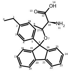 CCc1ccc(C2(OC(C)[C@H](N)C(=O)O)c3ccccc3-c3ccccc32)cc1